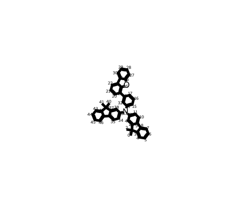 CC1(C)c2ccccc2-c2ccc(N(c3cccc(-c4cccc5c4oc4ccccc45)c3)c3ccc4c(c3)C(C)(C)c3ccccc3-4)cc21